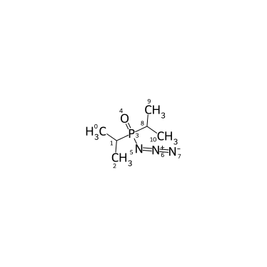 CC(C)P(=O)(N=[N+]=[N-])C(C)C